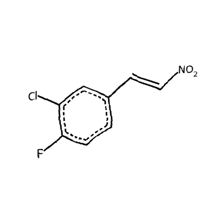 O=[N+]([O-])/C=C/c1ccc(F)c(Cl)c1